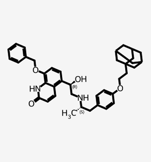 C[C@@H](Cc1ccc(OCCC23CC4CC(CC(C4)C2)C3)cc1)NC[C@H](O)c1ccc(OCc2ccccc2)c2[nH]c(=O)ccc12